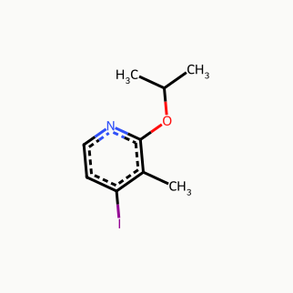 Cc1c(I)ccnc1OC(C)C